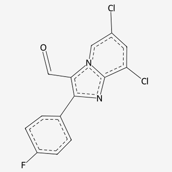 O=Cc1c(-c2ccc(F)cc2)nc2c(Cl)cc(Cl)cn12